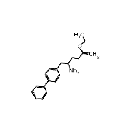 C=C(CCC(N)Cc1ccc(-c2ccccc2)cc1)OCC